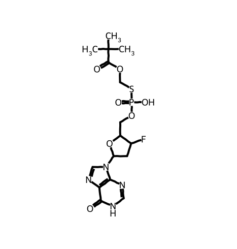 CC(C)(C)C(=O)OCSP(=O)(O)OCC1OC(n2cnc3c(=O)[nH]cnc32)CC1F